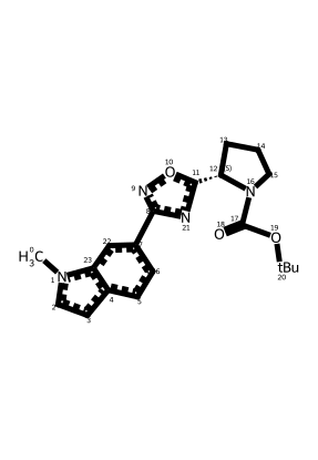 Cn1ccc2ccc(-c3noc([C@@H]4CCCN4C(=O)OC(C)(C)C)n3)cc21